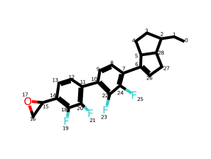 CCC1CCC2C(c3ccc(-c4ccc(C5CO5)c(F)c4F)c(F)c3F)=CCC12